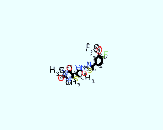 Cc1sc2c(c1CC(=O)Nc1nc(-c3ccc(F)c(OC(F)(F)F)c3)cs1)c(=O)n(C)c(=O)n2C